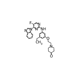 CCc1cc(Nc2ncc(F)c(-n3cnc4ccccc43)n2)cc(OCCN2CCC(=O)CC2)c1